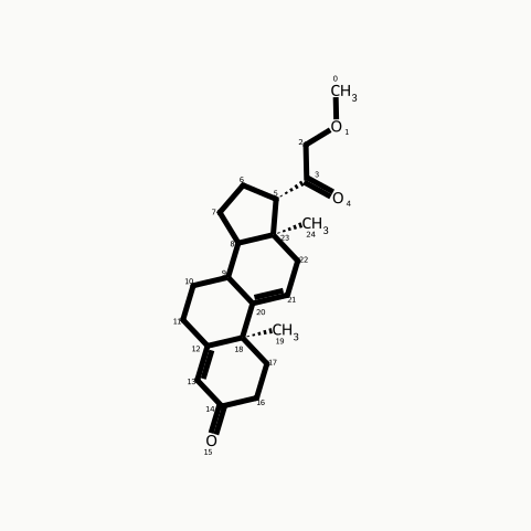 COCC(=O)[C@H]1CCC2C3CCC4=CC(=O)CC[C@]4(C)C3=CC[C@@]21C